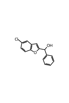 OC(c1ccccc1)c1cc2cc(Cl)ccc2o1